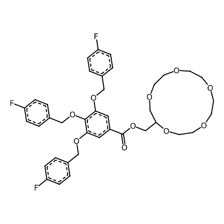 O=C(OCC1COCCOCCOCCOCCO1)c1cc(OCc2ccc(F)cc2)c(OCc2ccc(F)cc2)c(OCc2ccc(F)cc2)c1